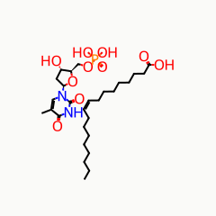 CCCCCCCC/C=C\CCCCCCCC(=O)O.Cc1cn([C@H]2C[C@H](O)[C@@H](COP(=O)(O)O)O2)c(=O)[nH]c1=O